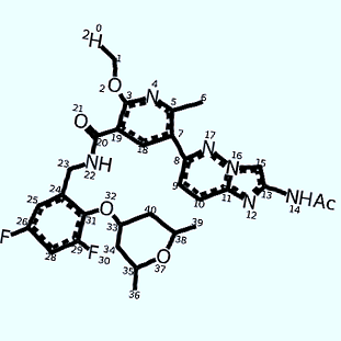 [2H]COc1nc(C)c(-c2ccc3nc(NC(C)=O)cn3n2)cc1C(=O)NCc1cc(F)cc(F)c1OC1CC(C)OC(C)C1